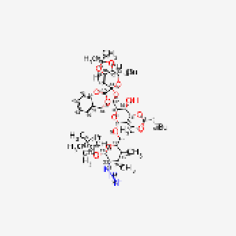 CC[C@@H](C)CC(=O)O[C@@H]1C(C)[C@H](OCC2O[C@@H](O[Si](C)(C)C(C)(C)C(C)C)C(N=[N+]=[N-])[C@@H](C)[C@@H]2C)OC(COC2(C(=O)OCc3ccccc3)C[C@H]3OC(C)(C)O[C@H]3C([C@H](C)CC)O2)[C@H]1O